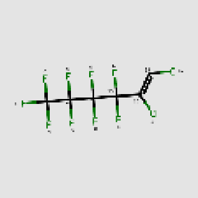 FC(F)(F)C(F)(F)C(F)(F)C(F)(F)C(Cl)=CCl